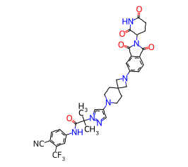 CC(C)(C(=O)Nc1ccc(C#N)c(C(F)(F)F)c1)n1cc(N2CCC3(CC2)CN(c2ccc4c(c2)C(=O)N(C2CCC(=O)NC2=O)C4=O)C3)cn1